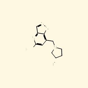 F[C@H]1CCN(Cc2cc(C(F)(F)F)nc3cn[nH]c23)C1